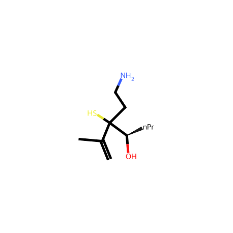 C=C(C)C(S)(CCN)[C@H](O)CCC